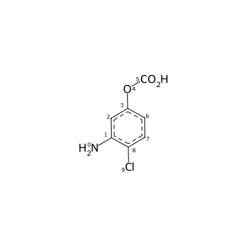 Nc1cc(OC(=O)O)ccc1Cl